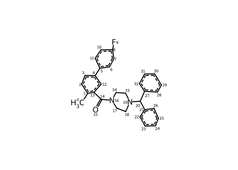 Cc1ccc(-c2ccc(F)cc2)cc1C(=O)N1CCN(C(c2ccccc2)c2ccccc2)CC1